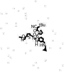 Cc1ncc(-c2ccc(C(=O)N=c3[nH]c4cc(CNCC5CC5)ccc4n3C[C@H]3CCCN3C(=O)C(C#N)=CC(C)(C)C)s2)o1